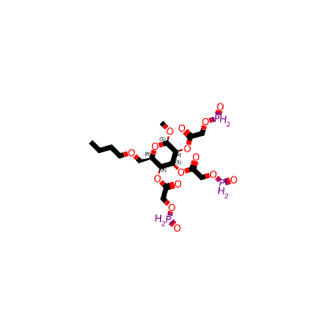 CCCCOC[C@H]1O[C@H](OC)[C@H](OC(=O)CO[PH2]=O)[C@@H](OC(=O)CO[PH2]=O)[C@@H]1OC(=O)CO[PH2]=O